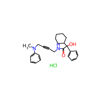 CN(CC#CCNC(=O)C(O)(c1ccccc1)C1CCCCC1)c1ccccc1.Cl